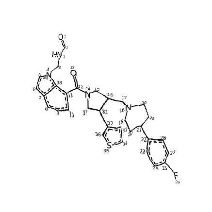 O=CNCn1ccc2cccc(C(=O)N3CC(CN4CCC(c5ccc(F)cc5)CC4)C(c4ccsc4)C3)c21